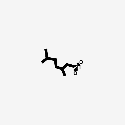 CC(C)CCC(C)C[SH](=O)=O